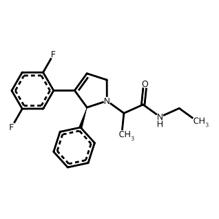 CCNC(=O)C(C)N1CC=C(c2cc(F)ccc2F)[C@@H]1c1ccccc1